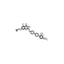 O=c1[nH]c(CSC2CCN(C3CCN(c4ccc([N+](=O)[O-])cc4C(F)(F)F)CC3)CC2)nc2cc(OCC3CC3)cc(F)c12